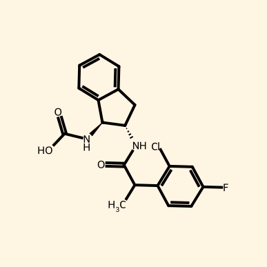 CC(C(=O)N[C@H]1Cc2ccccc2[C@@H]1NC(=O)O)c1ccc(F)cc1Cl